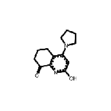 O=C1CCCc2c(N3CCCC3)cc(O)nc21